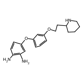 Nc1ccc(Oc2cccc(OCCC3CCCCN3)c2)cc1N